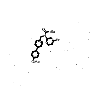 CCCCC(=O)N(Cc1ccc(-c2ccc(OC)cc2)cc1)c1cccc(Br)c1